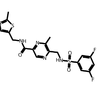 Cc1ncc(CNC(=O)c2cnc(CNS(=O)(=O)c3cc(F)cc(F)c3)c(C)n2)s1